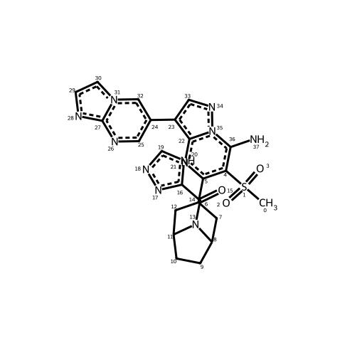 CS(=O)(=O)c1c(C2CC3CCC(C2)N3C(=O)c2nnc[nH]2)nc2c(-c3cnc4nccn4c3)cnn2c1N